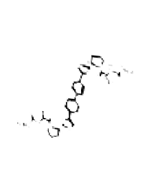 COC(=O)NC(C(=O)N1CCC[C@H]1c1nc(-c2ccc(-c3ccc(-c4cnc([C@@H]5C=CCN5C(=O)[C@@H](NC(=O)OC(C)(C)C)C(C)C)[nH]4)cc3)cc2)c[nH]1)C(C)C